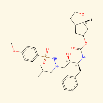 COc1ccc(S(=O)(=O)NN(CC(C)C)C[C@@H](O)[C@H](Cc2ccccc2)NC(=O)OC2CC3CCO[C@@H]3C2)cc1